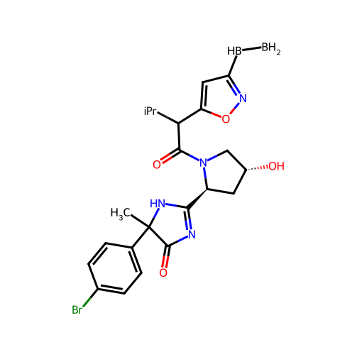 BBc1cc(C(C(=O)N2C[C@H](O)C[C@H]2C2=NC(=O)C(C)(c3ccc(Br)cc3)N2)C(C)C)on1